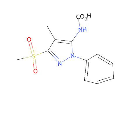 Cc1c(S(C)(=O)=O)nn(-c2ccccc2)c1NC(=O)O